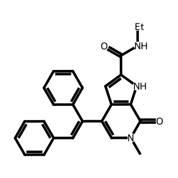 CCNC(=O)c1cc2c(C(=Cc3ccccc3)c3ccccc3)cn(C)c(=O)c2[nH]1